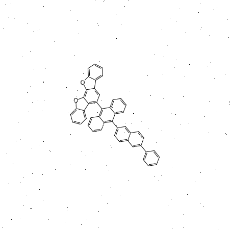 c1ccc(-c2ccc3cc(-c4c5ccccc5c(-c5cc6c7ccccc7oc6c6oc7ccccc7c56)c5ccccc45)ccc3c2)cc1